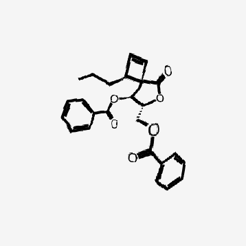 CCC[C@H]1C=C[C@]12C(=O)O[C@H](COC(=O)c1ccccc1)[C@H]2OC(=O)c1ccccc1